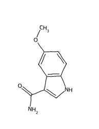 COc1[c]cc2[nH]cc(C(N)=O)c2c1